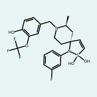 C[C@H]1C[C@@]2(C=CS(O)(O)N2c2cccc(F)c2)CCN1Cc1ccc(O)c(OC(F)(F)F)c1